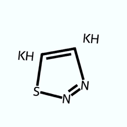 [KH].[KH].c1csnn1